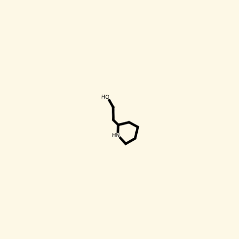 O[C]CC1CCCCN1